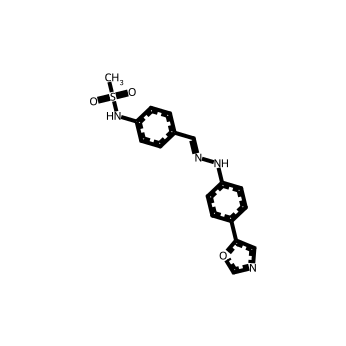 CS(=O)(=O)Nc1ccc(C=NNc2ccc(-c3cnco3)cc2)cc1